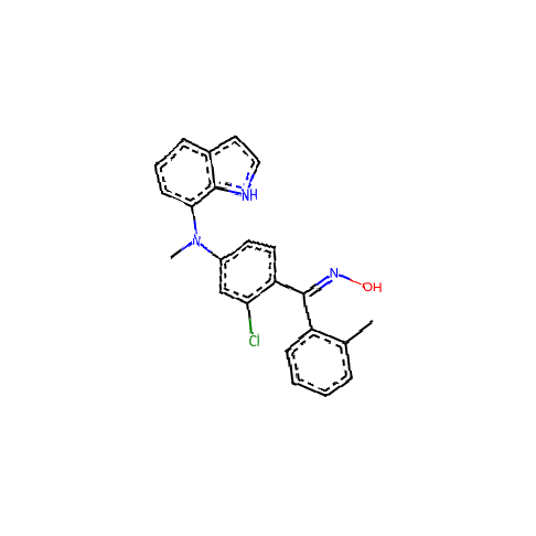 Cc1ccccc1C(=NO)c1ccc(N(C)c2cccc3cc[nH]c23)cc1Cl